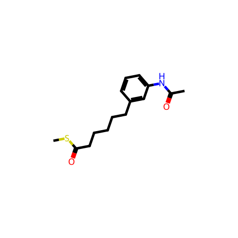 CSC(=O)CCCCCc1cccc(NC(C)=O)c1